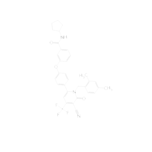 Cc1ccc(Cn2c(-c3ccc(Oc4cccc(C(=O)NC5CCCC5)c4)cc3)cc(C(F)(F)F)c(C#N)c2=O)c(C)c1